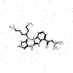 CCCCC(CCC)/N=C1\CNC=C1NC1=NC2C(C(=O)CN(C)C)=CC=CC2N1